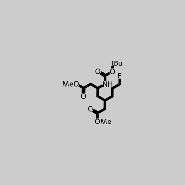 COC(=O)CC(CCCF)CC(CC(=O)OC)NC(=O)OC(C)(C)C